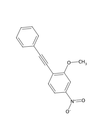 COc1cc([N+](=O)[O-])ccc1C#Cc1ccccc1